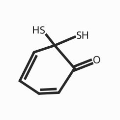 O=C1C=CC=CC1(S)S